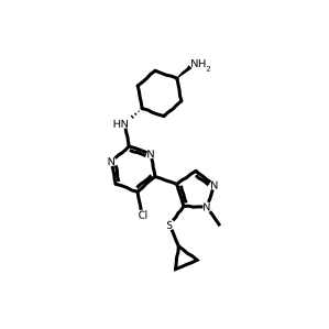 Cn1ncc(-c2nc(N[C@H]3CC[C@H](N)CC3)ncc2Cl)c1SC1CC1